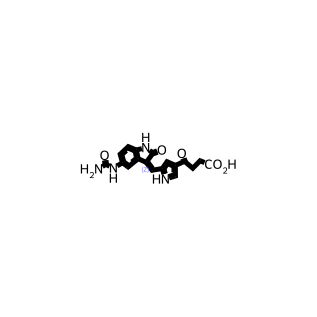 NC(=O)Nc1ccc2c(c1)/C(=C/c1cc(C(=O)CCC(=O)O)c[nH]1)C(=O)N2